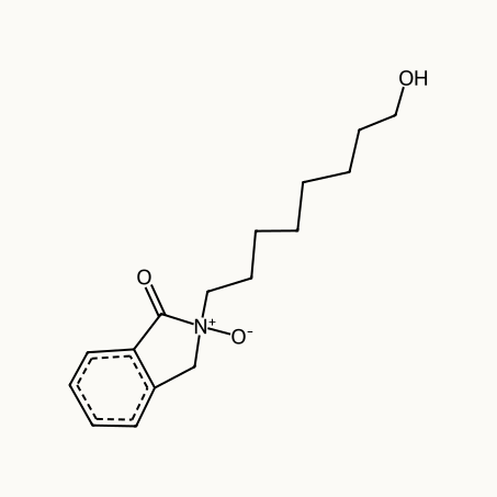 O=C1c2ccccc2C[N+]1([O-])CCCCCCCCO